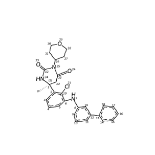 C[C@@]1(c2cccc(Nc3cccc(-c4ccccc4)c3)c2Cl)CC(=O)N(C2CCOCC2)C(=O)N1